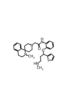 CNCCC(Oc1ccccc1NC(=O)CN1CCC2(CC1)c1ccccc1CCN2C)c1cccs1